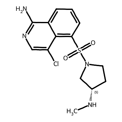 CN[C@H]1CCN(S(=O)(=O)c2cccc3c(N)ncc(Cl)c23)C1